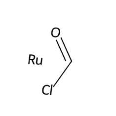 O=CCl.[Ru]